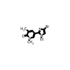 CCn1cc(Br)nc1-c1cc(C)c(=O)n(C)c1